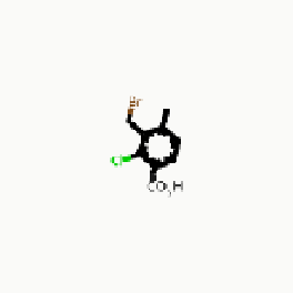 Cc1ccc(C(=O)O)c(Cl)c1CBr